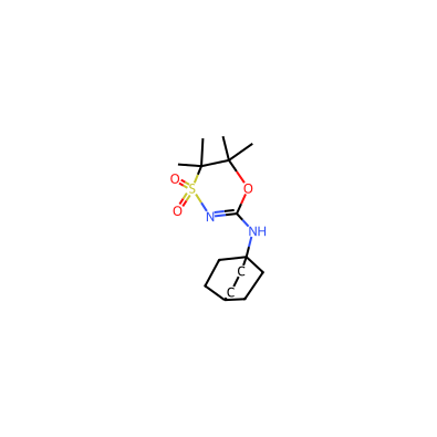 CC1(C)OC(NC23CCC(CC2)CC3)=NS(=O)(=O)C1(C)C